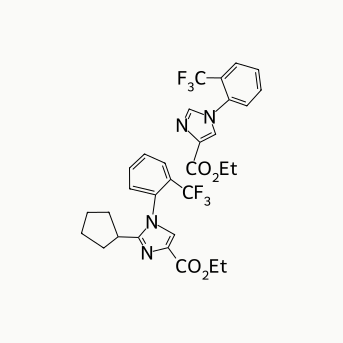 CCOC(=O)c1cn(-c2ccccc2C(F)(F)F)c(C2CCCC2)n1.CCOC(=O)c1cn(-c2ccccc2C(F)(F)F)cn1